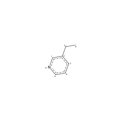 C[C]c1cccnc1